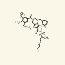 COc1cc(C(=O)N(CCCc2ccccc2)Cc2nc(C(=O)NS(=O)(=O)N(C)CCOCCF)c(C)s2)cc(OC)c1C